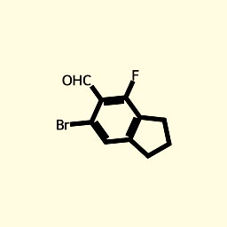 O=Cc1c(Br)cc2c(c1F)CCC2